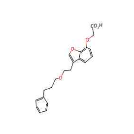 O=C(O)COc1cccc2c(CCOCCCc3ccccc3)coc12